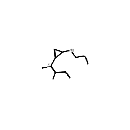 CCCNC1CC1[C@H](C)C(C)CC